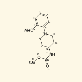 COc1ccccc1N1CCC(NC(=O)OC(C)(C)C)CC1